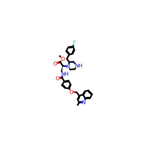 COC(=O)[C@H](CNC(=O)c1ccc(OCc2cc(C)nc3ccccc23)cc1)N1CCNCC1Cc1ccc(F)cc1